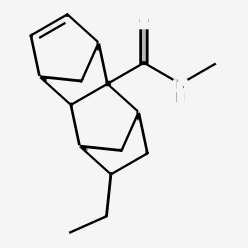 CCC1CC2CC1C1C3C=CC(C3)C21C(=O)NC